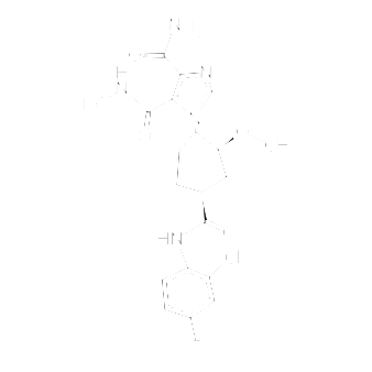 CNC(=O)c1c(C(N)=O)ncn1[C@H]1CC[C@H](C(=O)Nc2ccc(F)cc2Cl)C[C@@H]1OC